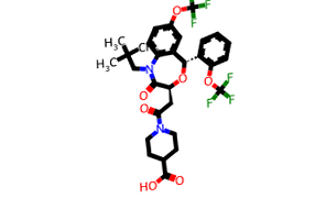 CC(C)(C)CN1C(=O)[C@H](CC(=O)N2CCC(C(=O)O)CC2)O[C@@H](c2ccccc2OC(F)(F)F)c2cc(OC(F)(F)F)ccc21